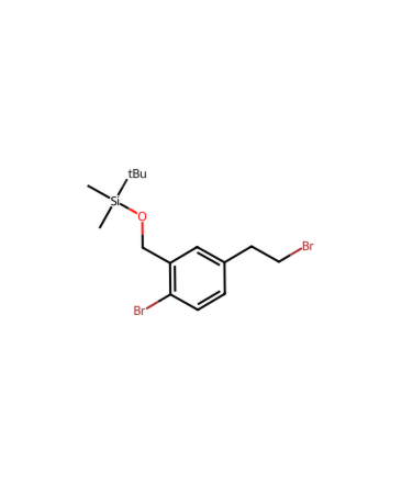 CC(C)(C)[Si](C)(C)OCc1cc(CCBr)ccc1Br